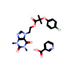 Cn1c(=O)c2c(ncn2CCOC(=O)C(C)(C)Oc2ccc(Cl)cc2)n(C)c1=O.O=C(O)c1cccnc1